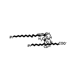 C=C(C)C(=O)O.C=C(C)C(=O)O.CC(C)CCCCCCCCCCCCCCC(=O)[O-].CC(C)CCCCCCCCCCCCCCC(=O)[O-].[Cu+2]